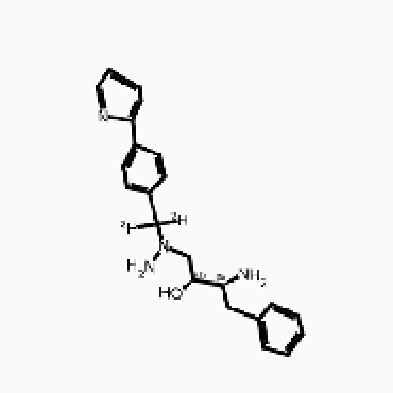 [2H]C([2H])(c1ccc(-c2ccccn2)cc1)N(N)C[C@H](O)[C@@H](N)Cc1ccccc1